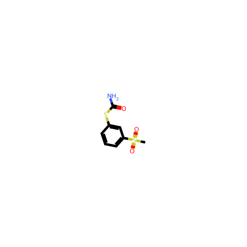 CS(=O)(=O)c1cccc(SC(N)=O)c1